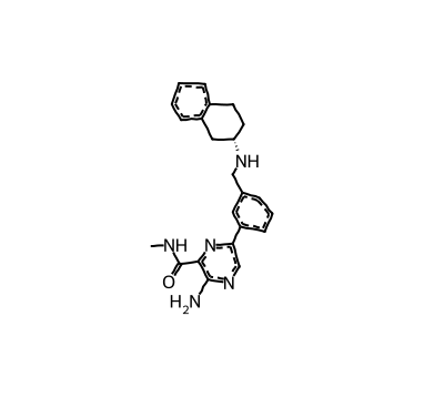 CNC(=O)c1nc(-c2cccc(CN[C@H]3CCc4ccccc4C3)c2)cnc1N